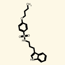 CCCCOc1ccc(S(=O)(=O)NCCCc2c[nH]c3ccccc23)cc1